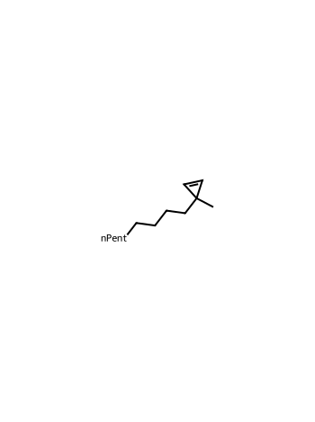 CCCCCCCCCC1(C)C=C1